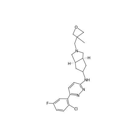 CC1(CN2C[C@H]3CC(Nc4ccc(-c5cc(F)ccc5Cl)nn4)C[C@H]3C2)COC1